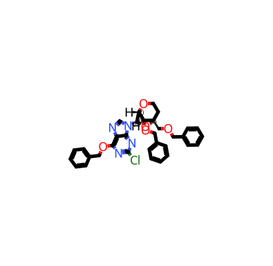 Clc1nc(OCc2ccccc2)c2ncn([C@@H]3O[C@@]4(COCc5ccccc5)CCO[C@@H]3[C@@H]4OCc3ccccc3)c2n1